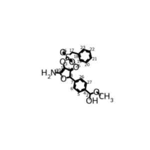 COC(O)c1ccc(C2OC(N)=C(OS(=O)(=O)Cc3ccccc3)C2=O)cc1